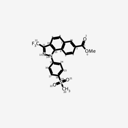 COC(=O)c1ccc2c(ccc3c(C(F)(F)F)nn(-c4ccc(S(C)(=O)=O)cc4)c32)c1